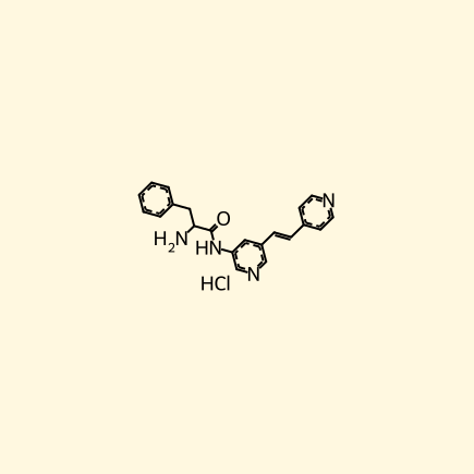 Cl.NC(Cc1ccccc1)C(=O)Nc1cncc(C=Cc2ccncc2)c1